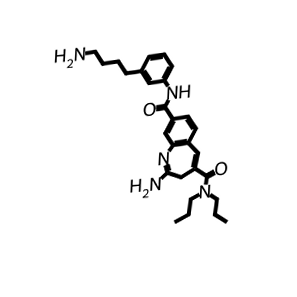 CCCN(CCC)C(=O)C1=Cc2ccc(C(=O)Nc3cccc(CCCCN)c3)cc2N=C(N)C1